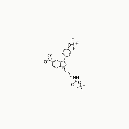 CC(C)(C)OC(=O)NCCCn1cc(-c2ccc(OC(F)(F)F)cc2)c2cc([N+](=O)[O-])ccc21